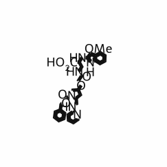 COc1c(NC(CNC(=O)COC2CC(CNc3ccccn3)N(C(=O)OCc3ccccc3)C2)C(=O)O)[nH]c2ccccc12